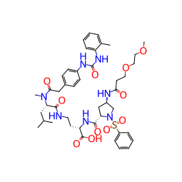 COCCOCCC(=O)N[C@@H]1C[C@@H](C(=O)N[C@@H](CCNC(=O)[C@H](CC(C)C)N(C)C(=O)Cc2ccc(NC(=O)Nc3ccccc3C)cc2)C(=O)O)N(S(=O)(=O)c2ccccc2)C1